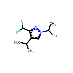 CC(C)c1cn(C(C)C)nc1C(F)F